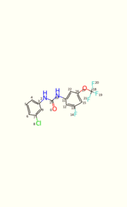 O=C(Nc1cccc(Cl)c1)Nc1cc(F)cc(OC(F)(F)F)c1